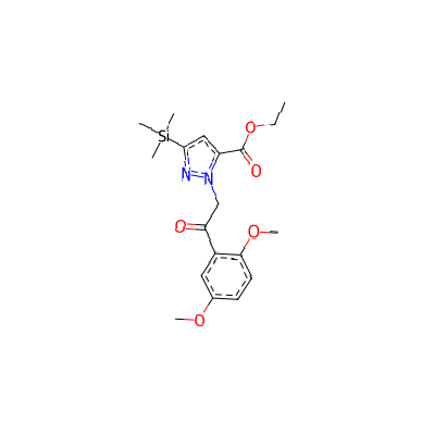 CCOC(=O)c1cc([Si](C)(C)C)nn1CC(=O)c1cc(OC)ccc1OC